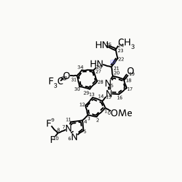 COc1cc(-c2cnn(C(F)F)c2)ccc1-n1ccc(=O)c(/C(=C/C(C)=N)Nc2cccc(OC(F)(F)F)c2)n1